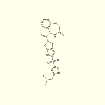 O=C1COc2ccccc2[C@@H](C(=O)N2Cc3cn(S(=O)(=O)c4cnn(CC(F)F)c4)nc3C2)N1